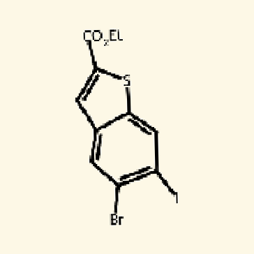 CCOC(=O)c1cc2cc(Br)c(I)cc2s1